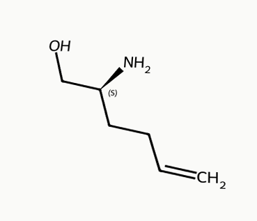 C=CCC[C@H](N)CO